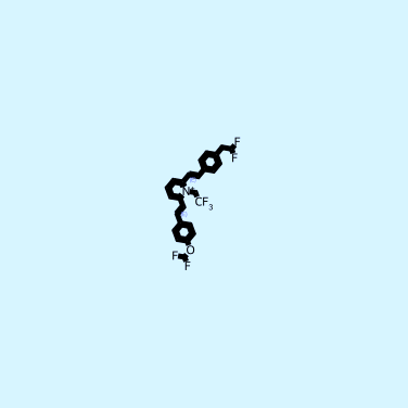 FC(F)Cc1ccc(/C=C/c2cccc(/C=C/c3ccc(OC(F)F)cc3)[n+]2CC(F)(F)F)cc1